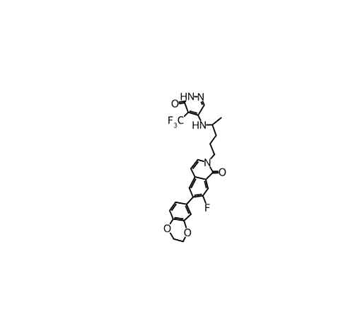 CC(CCCn1ccc2cc(-c3ccc4c(c3)OCCO4)c(F)cc2c1=O)Nc1cn[nH]c(=O)c1C(F)(F)F